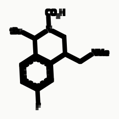 CNCC1CN(C(=O)O)C(C(C)(C)C)c2ccc(F)cc21